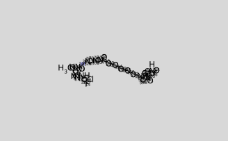 COc1cc2ncnc(Nc3ccc(F)c(Cl)c3)c2cc1NC(=O)/C=C/CN1CCC(N2CCN(C(=O)CCOCCOCCOCCOCCOCCNc3cccc4c3C(=O)N(C3CCC(=O)NC3=O)C4=O)CC2)CC1